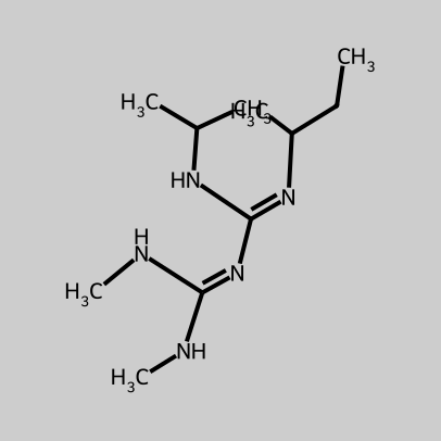 CCC(C)/N=C(/N=C(NC)NC)NC(C)C